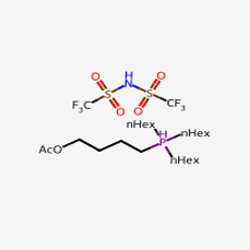 CCCCCC[PH](CCCCCC)(CCCCCC)CCCCOC(C)=O.O=S(=O)(NS(=O)(=O)C(F)(F)F)C(F)(F)F